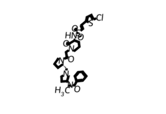 CN(C(=O)c1ccccc1)C1CCN(C[C@@H]2CCCN2C(=O)CN2CCC[C@H](NS(=O)(=O)/C=C/c3ccc(Cl)s3)C2=O)C1